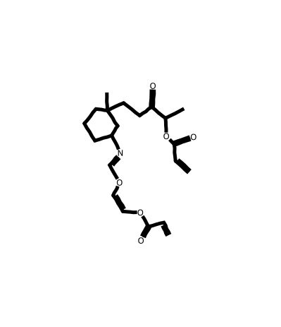 C=CC(=O)O/C=C\O/C=N/C1CCCC(C)(CCC(=O)C(C)OC(=O)C=C)C1